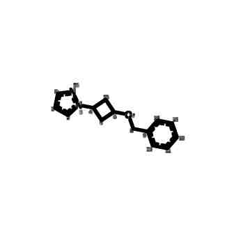 [c]1ccn(C2CC(OCc3ccccc3)C2)n1